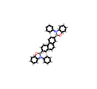 c1ccc(N2B(c3ccc4c(ccc5cc(B6Oc7ccccc7N6c6ccccc6)ccc54)c3)Oc3ccccc32)cc1